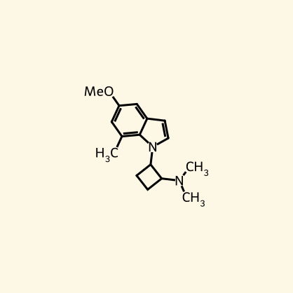 COc1cc(C)c2c(ccn2C2CCC2N(C)C)c1